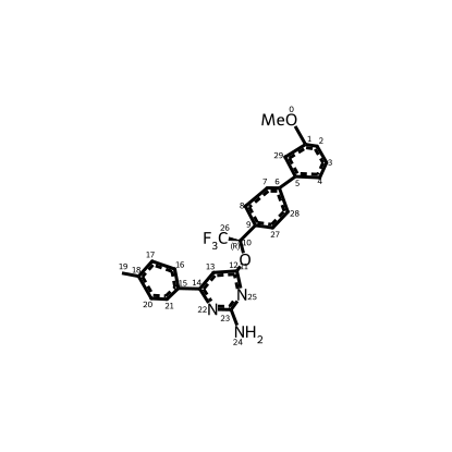 COc1cccc(-c2ccc([C@@H](Oc3cc(-c4ccc(C)cc4)nc(N)n3)C(F)(F)F)cc2)c1